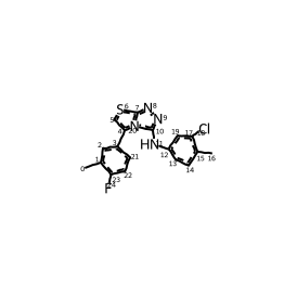 Cc1cc(-c2csc3nnc(Nc4ccc(C)c(Cl)c4)n23)ccc1F